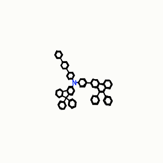 c1ccc(-c2ccc(-c3ccc(N(c4ccc(-c5ccc6c(c5)c(-c5ccccc5)c(-c5ccccc5)c5ccccc56)cc4)c4ccc5c(c4)-c4ccccc4C5(c4ccccc4)c4ccccc4)cc3)cc2)cc1